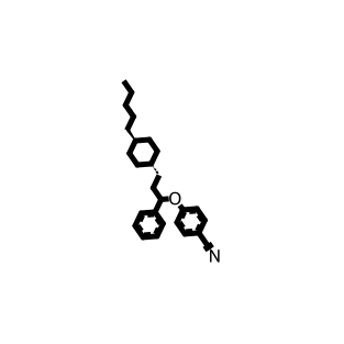 CCCCC[C@H]1CC[C@H](CCC(Oc2ccc(C#N)cc2)c2ccccc2)CC1